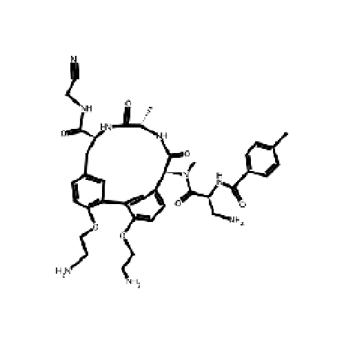 Cc1ccc(C(=O)N[C@@H](CN)C(=O)N(C)[C@@H]2C(=O)N[C@@H](C)C(=O)N[C@H](C(=O)NCC#N)Cc3ccc(OCCN)c(c3)-c3cc2ccc3OCCN)cc1